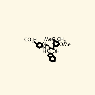 COc1cc([C@@H](O)[C@H](Cc2nc3cc(CC(=O)O)ccc3[nH]2)OC2=Cc3ccccc3C2)cc(OC)c1C